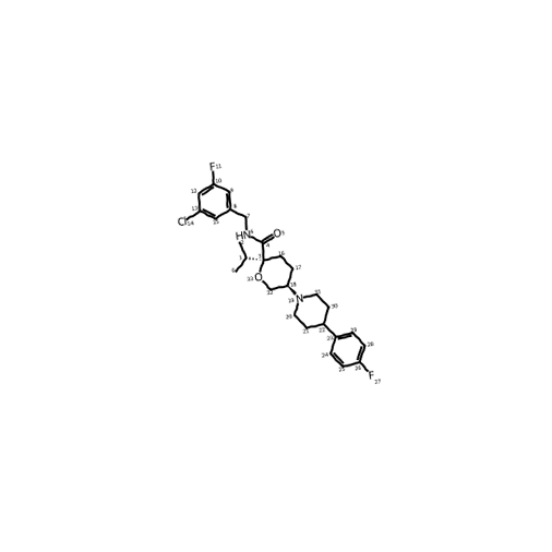 CC(C)[C@]1(C(=O)NCc2cc(F)cc(Cl)c2)CC[C@@H](N2CCC(c3ccc(F)cc3)CC2)CO1